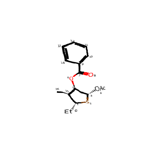 CC[C@H]1S[C@@H](OC(C)=O)[C@H](OC(=O)c2ccccc2)[C@@H]1C